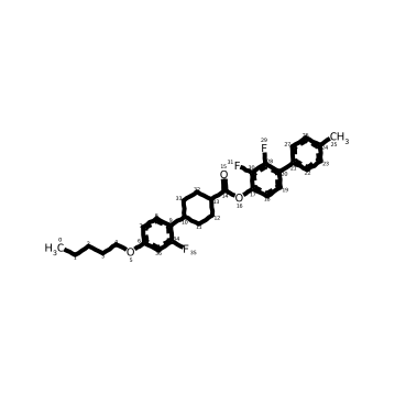 CCCCCOc1ccc(C2CCC(C(=O)Oc3ccc(-c4ccc(C)cc4)c(F)c3F)CC2)c(F)c1